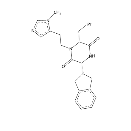 CC(C)C[C@@H]1C(=O)N[C@H](C2Cc3ccccc3C2)C(=O)N1CCc1cncn1C